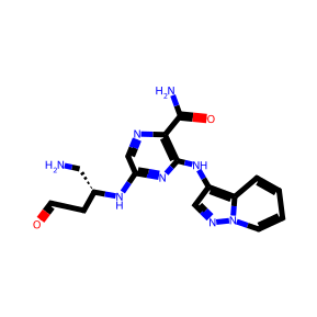 NC[C@@H](CC=O)Nc1cnc(C(N)=O)c(Nc2cnn3ccccc23)n1